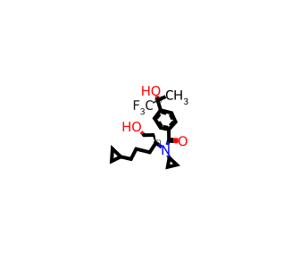 C[C@](O)(c1ccc(C(=O)N(C2CC2)[C@H](CCO)CCCC2CC2)cc1)C(F)(F)F